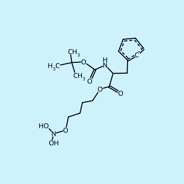 CC(C)(C)OC(=O)NC(Cc1ccccc1)C(=O)OCCCCON(O)O